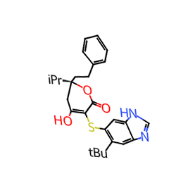 CC(C)[C@]1(CCc2ccccc2)CC(O)=C(Sc2cc3[nH]cnc3cc2C(C)(C)C)C(=O)O1